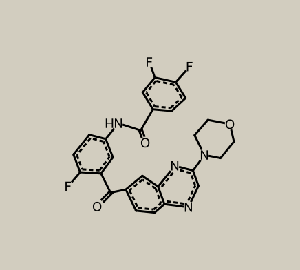 O=C(Nc1ccc(F)c(C(=O)c2ccc3ncc(N4CCOCC4)nc3c2)c1)c1ccc(F)c(F)c1